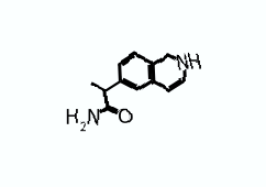 CC(C(N)=O)c1ccc2c(c1)C=CNC2